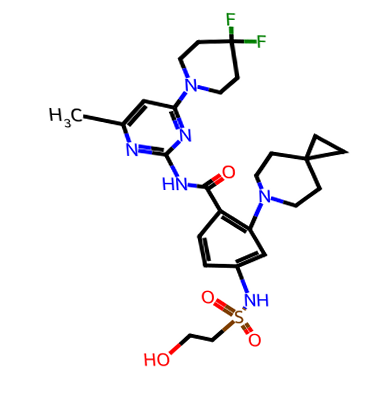 Cc1cc(N2CCC(F)(F)CC2)nc(NC(=O)c2ccc(NS(=O)(=O)CCO)cc2N2CCC3(CC2)CC3)n1